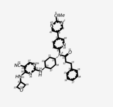 COc1ncc(-c2ccc(N(C(=O)CCc3ccccc3)[C@H]3CC[C@H](Nc4ncc(C#N)c(NC5COC5)n4)CC3)nc2)cn1